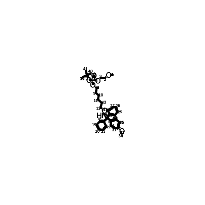 COCCOP(=O)(OCCCCCCONC(c1ccccc1)(c1ccccc1)c1ccc(OC)cc1)OC(C)(C)C